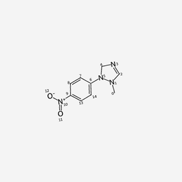 CN1C=NCN1c1ccc([N+](=O)[O-])cc1